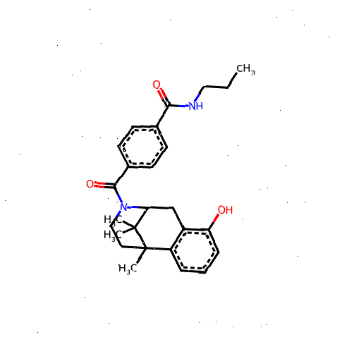 CCCNC(=O)c1ccc(C(=O)N2CCC3(C)c4cccc(O)c4CC2C3(C)C)cc1